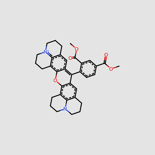 COC(=O)c1ccc(C2=c3cc4c5c(c3Oc3c2cc2c6c3CCCN6CCC2)CCC[N+]=5CCC4)c(C(=O)OC)c1